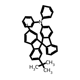 CC(C)(C)c1ccc2c(c1)C1(c3ccccc3-c3ccc(N(c4ccccc4)c4ccccc4)cc31)c1cc(Cl)ccc1-2